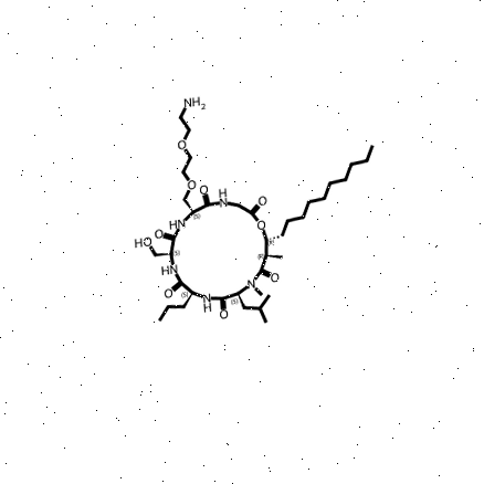 CCCCCCCCCC[C@H]1OC(=O)CNC(=O)[C@H](COCCOCCN)NC(=O)[C@H](CO)NC(=O)[C@H](CCC)NC(=O)[C@H](CC(C)C)N(C)C(=O)[C@@H]1C